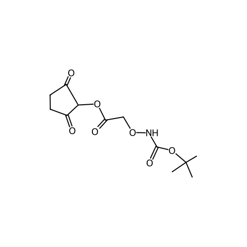 CC(C)(C)OC(=O)NOCC(=O)OC1C(=O)CCC1=O